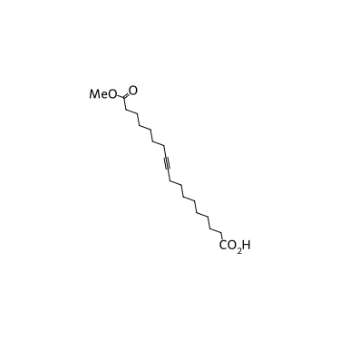 COC(=O)CCCCCCC#CCCCCCCCCC(=O)O